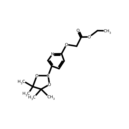 CCOC(=O)COc1ccc(B2OC(C)(C)C(C)(C)O2)cn1